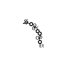 C=C1C=C(c2ccc(OC(=O)[C@@H](C)c3ccc4cc(OC(=O)c5ccc(CC)cc5)ccc4c3)cc2)SS1